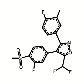 Cc1cc(-c2noc(C(F)F)c2-c2ccc(S(C)(=O)=O)c(F)c2)ccc1F